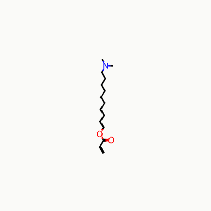 C=CC(=O)OCCCCCCCCCCN(C)C